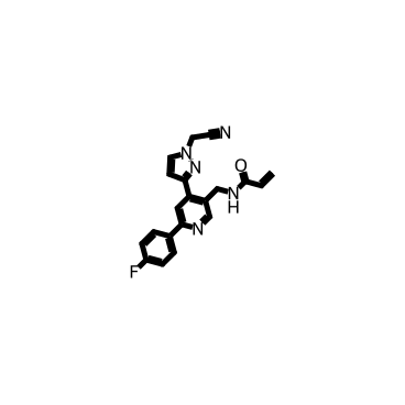 C=CC(=O)NCc1cnc(-c2ccc(F)cc2)cc1-c1ccn(CC#N)n1